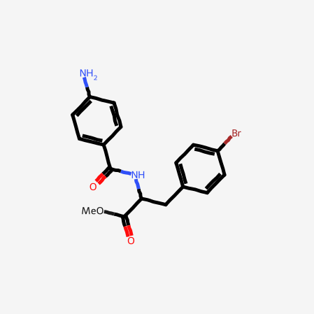 COC(=O)C(Cc1ccc(Br)cc1)NC(=O)c1ccc(N)cc1